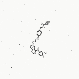 O=C(/C=C/c1ccc(OCCOc2ccc3ncnc(Nc4ccc(F)c(Cl)c4)c3c2)cc1)NO